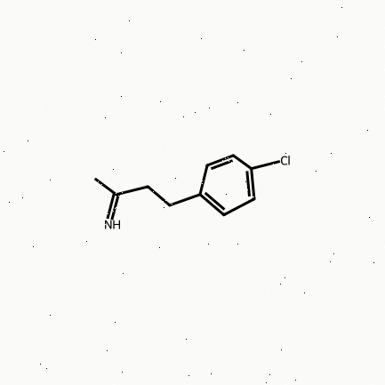 CC(=N)CCc1ccc(Cl)cc1